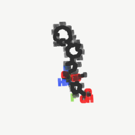 COc1cc(C(=O)O)c(F)cc1NS(=O)(=O)c1ccc(C2CCCCC(C3CCCCCCCCC3)CC2)cn1